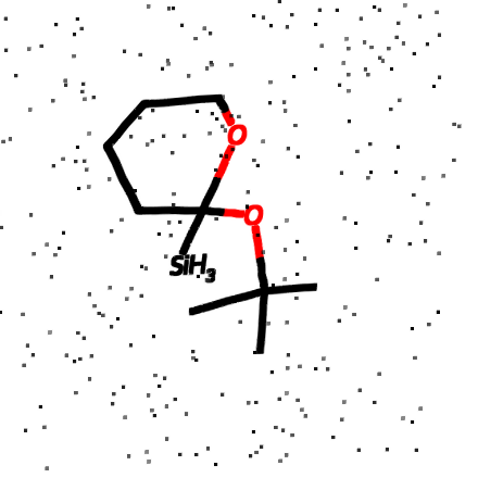 CC(C)(C)OC1([SiH3])CCCCO1